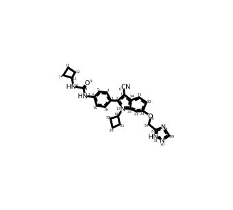 N#Cc1c(-c2ccc(NC(=O)NC3CCC3)cc2)n(C2CCC2)c2cc(OCc3ncn[nH]3)ccc12